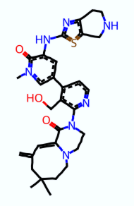 C=C1/C=C2/C(=O)N(c3nccc(-c4cc(Nc5nc6c(s5)CNCC6)c(=O)n(C)c4)c3CO)CCN2CCC(C)(C)C1